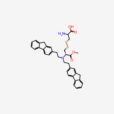 COC(=O)[C@H](CSSCC(N)C(=O)O)N(CCc1ccc2c(c1)Cc1ccccc1-2)CCc1ccc2c(c1)Cc1ccccc1-2